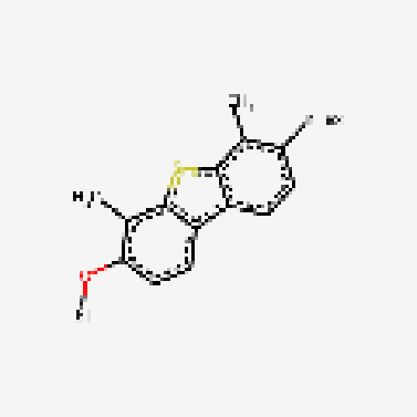 CCCCCCc1ccc2c(sc3c(C)c(OCC)ccc32)c1C